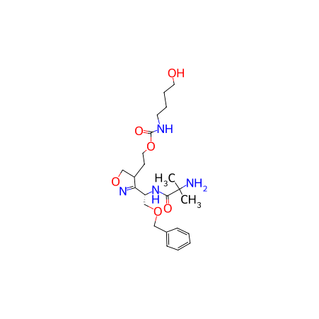 CC(C)(N)C(=O)N[C@H](COCc1ccccc1)C1=NOCC1CCOC(=O)NCCCCO